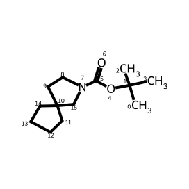 CC(C)(C)OC(=O)N1CCC2(CCCC2)C1